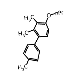 CCCOc1ccc(-c2ccc(C)cc2)c(C)c1C